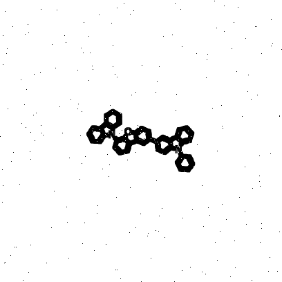 C1=Cc2c(c3ccccc3n2-c2cccc3c2oc2ccc(-c4ccc5c(c4)c4ccccc4n5-c4ccccc4)cc23)CC1